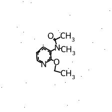 CCOc1ncc[c]c1N(C)C(C)=O